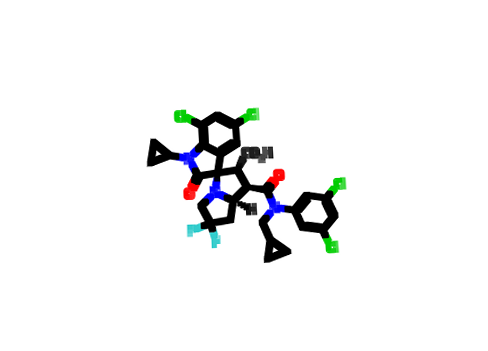 O=C(O)[C@H]1[C@@H](C(=O)N(CC2CC2)c2cc(Cl)cc(Cl)c2)[C@H]2CC(F)(F)CN2[C@]12C(=O)N(C1CC1)c1c(Cl)cc(Cl)cc12